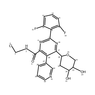 O=C(NCCl)c1nc(-c2c(F)cccc2F)nc(C2CC(O)C(O)CO2)c1-c1cccnc1